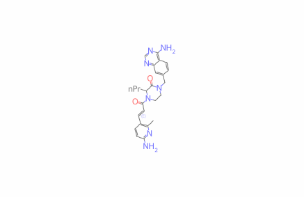 CCCC1C(=O)N(Cc2ccc3c(N)ncnc3c2)CCN1C(=O)/C=C/c1ccc(N)nc1C